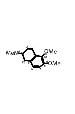 CNC1CCc2c(ccc(OC)c2OC)C1